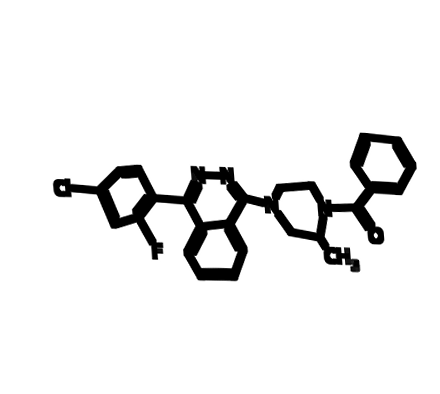 CC1CN(c2nnc(-c3ccc(Cl)cc3F)c3ccccc23)CCN1C(=O)c1ccccc1